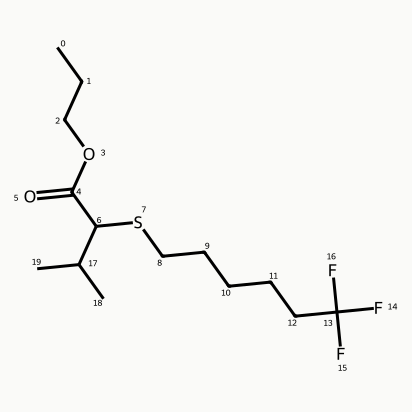 CCCOC(=O)C(SCCCCCC(F)(F)F)C(C)C